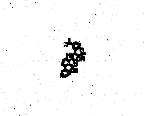 CC(=O)c1ccc2c(c1)C(NC(=O)c1cccc(-c3cnccn3)c1C(=O)O)C(O)C(C)(C)O2